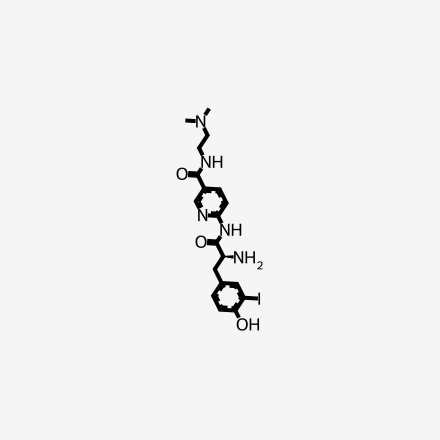 CN(C)CCNC(=O)c1ccc(NC(=O)[C@@H](N)Cc2ccc(O)c(I)c2)nc1